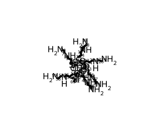 C[Si](O)(CCCNCCN)O[Si](C)(CCCNCCN)O[Si](C)(CCCNCCN)O[Si](C)(CCCNCCN)O[Si](C)(CCCNCCN)O[Si](C)(CCCNCCN)[Si](C)(C)C